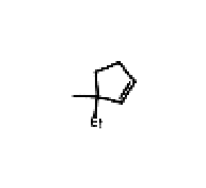 CCC1(C)C=CCC1